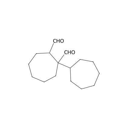 O=CC1CCCCCC1(C=O)C1CCCCCC1